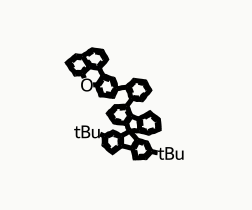 CC(C)(C)c1ccc2c(c1)C1(c3cc(C(C)(C)C)ccc3-2)c2ccccc2-c2c(-c3ccccc3-c3ccc4c(c3)-c3cccc5cccc(c35)O4)cccc21